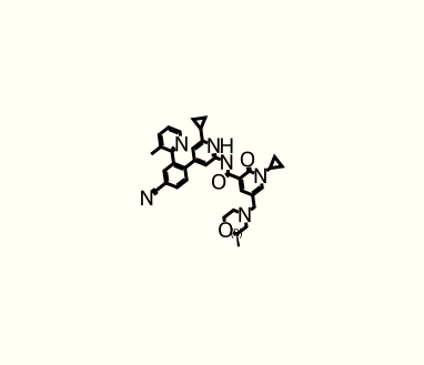 Cc1cccnc1-c1cc(C#N)ccc1-c1cc(NC(=O)c2cc(CN3CCO[C@H](C)C3)cn(C3CC3)c2=O)nc(C2CC2)c1